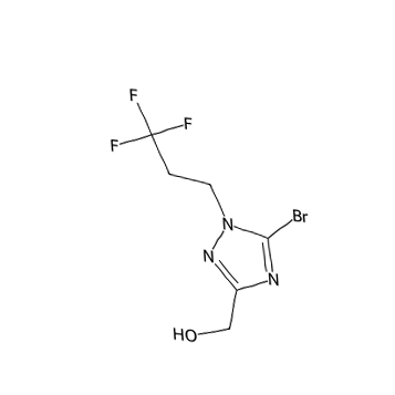 OCc1nc(Br)n(CCC(F)(F)F)n1